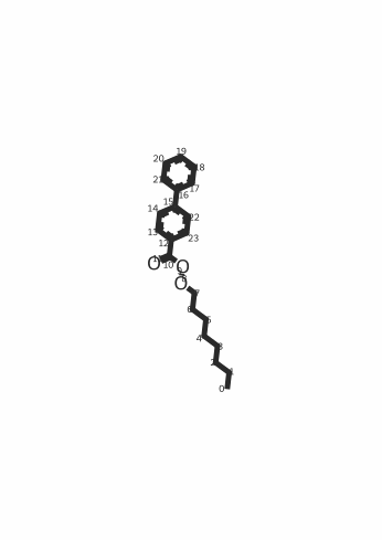 CCCCCCCCOOC(=O)c1ccc(-c2ccccc2)cc1